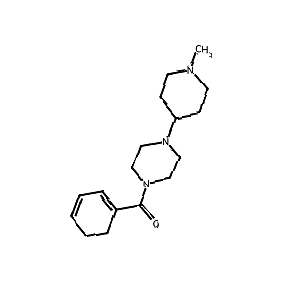 CN1CCC(N2CCN(C(=O)C3=CC=CCC3)CC2)CC1